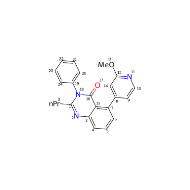 CCCc1nc2cccc(-c3ccnc(OC)c3)c2c(=O)n1-c1ccccc1